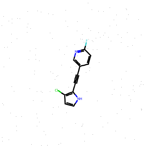 Fc1ccc(C#Cc2[nH]ccc2Cl)cn1